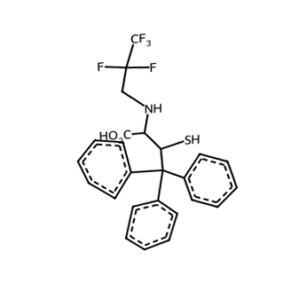 O=C(O)C(NCC(F)(F)C(F)(F)F)C(S)C(c1ccccc1)(c1ccccc1)c1ccccc1